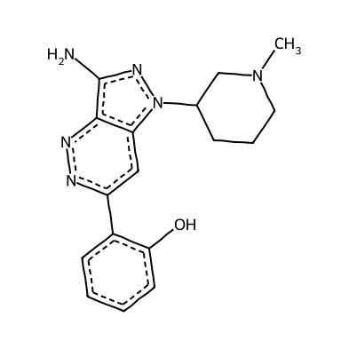 CN1CCCC(n2nc(N)c3nnc(-c4ccccc4O)cc32)C1